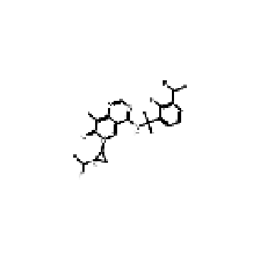 Cc1c(=O)n(C2C[C@H]2C(F)F)cc2c(NC(C)(C)c3cccc(C(F)F)c3F)ncnc12